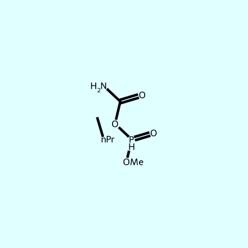 CCCC.CO[PH](=O)OC(N)=O